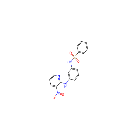 O=[N+]([O-])c1cccnc1Nc1cccc(NS(=O)(=O)c2ccccc2)c1